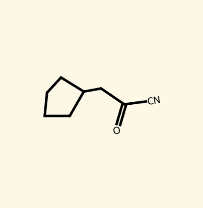 N#CC(=O)CC1CCCC1